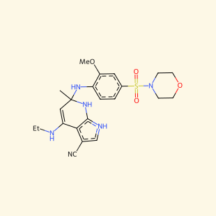 CCNC1=CC(C)(Nc2ccc(S(=O)(=O)N3CCOCC3)cc2OC)Nc2[nH]cc(C#N)c21